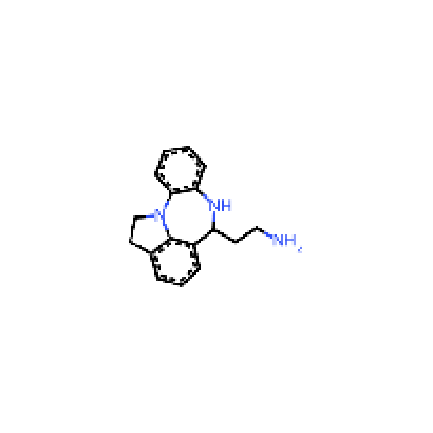 NCCC1Nc2ccccc2N2CCc3cccc1c32